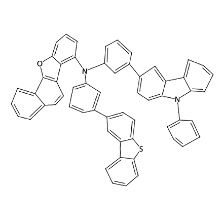 c1ccc(-n2c3ccccc3c3cc(-c4cccc(N(c5cccc(-c6ccc7sc8ccccc8c7c6)c5)c5cccc6oc7c8ccccc8ccc7c56)c4)ccc32)cc1